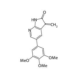 C=C1C(=O)Nc2ncc(-c3cc(OC)c(OC)c(OC)c3)cc21